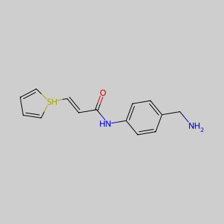 NCc1ccc(NC(=O)C=C[SH]2C=CC=C2)cc1